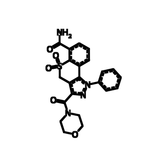 NC(=O)c1cccc2c1S(=O)(=O)Cc1c(C(=O)N3CCOCC3)nn(-c3ccccc3)c1-2